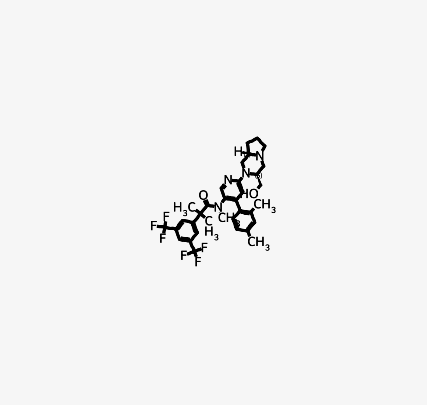 Cc1ccc(-c2cc(N3C[C@@H]4CCCN4C[C@H]3CO)ncc2N(C)C(=O)C(C)(C)c2cc(C(F)(F)F)cc(C(F)(F)F)c2)c(C)c1